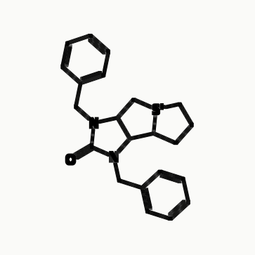 O=C1N(Cc2ccccc2)C2C[S+]3CCCC3C2N1Cc1ccccc1